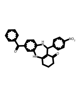 O=C1CCCC2=C1C(c1ccc([N+](=O)[O-])cc1)Nc1ccc(C(=O)c3ccccc3)cc1N2